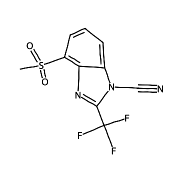 CS(=O)(=O)c1cccc2c1nc(C(F)(F)F)n2C#N